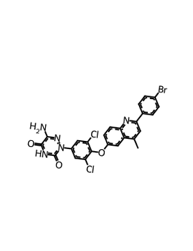 Cc1cc(-c2ccc(Br)cc2)nc2ccc(Oc3c(Cl)cc(-n4nc(N)c(=O)[nH]c4=O)cc3Cl)cc12